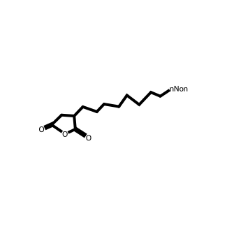 CCCCCCCCCCCCCCCCCC1CC(=O)OC1=O